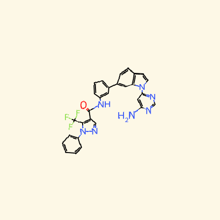 Nc1cc(-n2ccc3ccc(-c4cccc(NC(=O)c5cnn(-c6ccccc6)c5C(F)(F)F)c4)cc32)ncn1